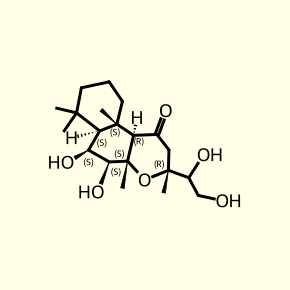 CC1(C)CCC[C@]2(C)[C@H]3C(=O)C[C@](C)(C(O)CO)O[C@]3(C)[C@@H](O)[C@@H](O)[C@@H]12